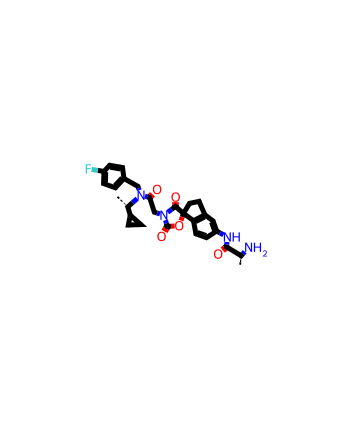 C[C@@H](N)C(=O)Nc1ccc2c(c1)CCC21OC(=O)N(CC(=O)N(Cc2ccc(F)cc2)[C@@H](C)C2CC2)C1=O